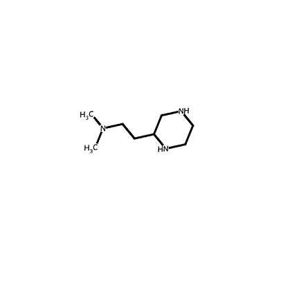 CN(C)CCC1CNCCN1